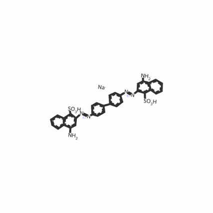 Nc1cc(/N=N/c2ccc(-c3ccc(/N=N/c4cc(N)c5ccccc5c4S(=O)(=O)O)cc3)cc2)c(S(=O)(=O)O)c2ccccc12.[Na]